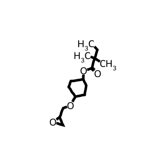 CCC(C)(C)C(=O)OC1CCC(OCC2CO2)CC1